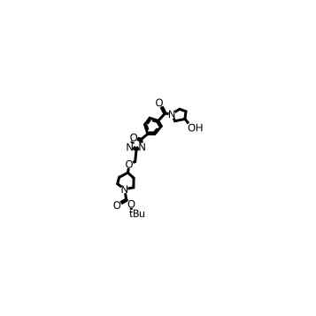 CC(C)(C)OC(=O)N1CCC(OCc2noc(-c3ccc(C(=O)N4CCC(O)C4)cc3)n2)CC1